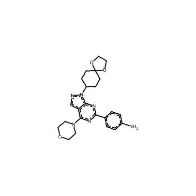 Nc1ccc(-c2nc(N3CCOCC3)c3cnn(C4CCC5(CC4)OCCO5)c3n2)cc1